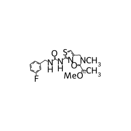 CO[C@@H](C)C(=O)N(C)Cc1csc(NC(=O)NCc2cccc(F)c2)n1